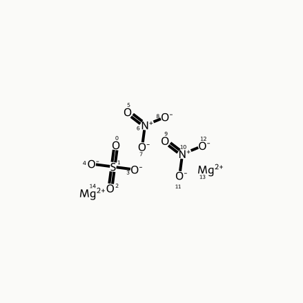 O=S(=O)([O-])[O-].O=[N+]([O-])[O-].O=[N+]([O-])[O-].[Mg+2].[Mg+2]